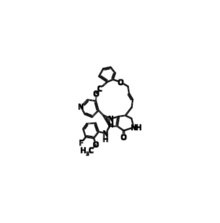 COc1c(F)cccc1Nc1c2[nH]c3c1C(=O)NCC3C/C=C/COc1ccccc1COc1cnccc1-2